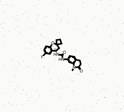 CN1C(=O)CCc2ccc(NC(=O)N[C@H]3CC4(CCC4)Oc4ccc(F)cc43)cc21